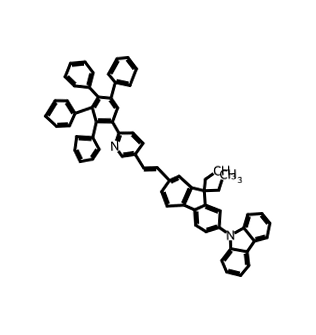 CCC1(CC)c2cc(/C=C/c3ccc(-c4cc(-c5ccccc5)c(-c5ccccc5)c(-c5ccccc5)c4-c4ccccc4)nc3)ccc2-c2ccc(-n3c4ccccc4c4ccccc43)cc21